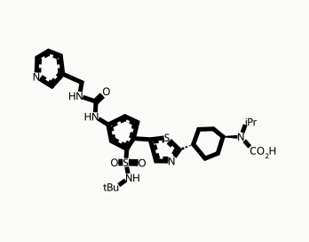 CC(C)N(C(=O)O)[C@H]1CC[C@H](c2ncc(-c3ccc(NC(=O)NCc4cccnc4)cc3S(=O)(=O)NC(C)(C)C)s2)CC1